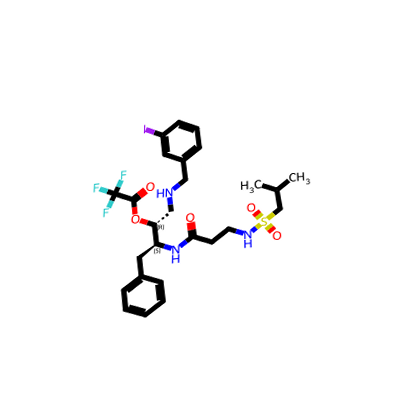 CC(C)CS(=O)(=O)NCCC(=O)N[C@@H](Cc1ccccc1)[C@@H](CNCc1cccc(I)c1)OC(=O)C(F)(F)F